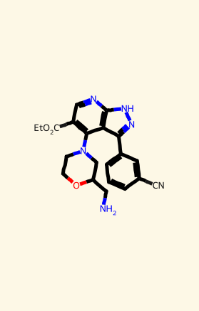 CCOC(=O)c1cnc2[nH]nc(-c3cccc(C#N)c3)c2c1N1CCOC(CN)C1